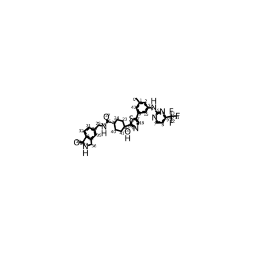 Cc1cc(Nc2nccc(C(F)(F)F)n2)cc(-c2cnc([C@]3(O)CC[C@H](C(=O)NCc4ccc5c(c4)CNC5=O)CC3)s2)c1